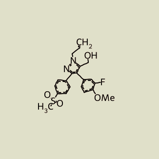 C=CCn1nc(-c2ccc(S(C)(=O)=O)cc2)c(-c2ccc(OC)c(F)c2)c1CO